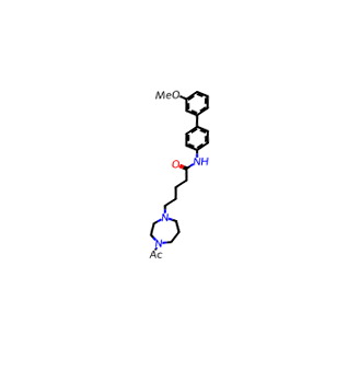 COc1cccc(-c2ccc(NC(=O)CCCCN3CCCN(C(C)=O)CC3)cc2)c1